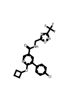 O=C(NCc1nc(C(F)(F)F)no1)c1cnc(OC2CCC2)c(-c2ccc(Cl)cc2)c1